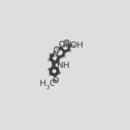 COc1ccc2c(c1)[nH]c1c(CC(CC(=O)O)C(=O)O)nccc12